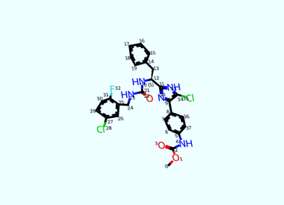 COC(=O)Nc1ccc(-c2nc([C@H](Cc3ccccc3)NC(=O)NCc3cc(Cl)ccc3F)[nH]c2Cl)cc1